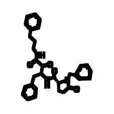 O=C(NCCCc1ccccc1)C(=O)C(Cc1ccccc1)NC(=O)[C@H]1CCC(=O)N1Cc1ccccc1